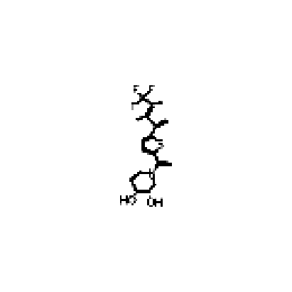 C=C(/C(C)=C(\C)C(F)(F)F)c1ccc(C(=C)N2CC[C@@H](O)[C@@H](O)C2)s1